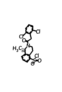 C[C@H]1c2cccc(S(=O)(=O)Cl)c2CCN1C(=O)Cc1c(Cl)cccc1Cl